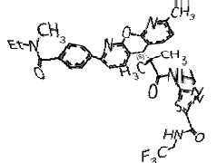 CCN(C)C(=O)c1ccc(-c2ccc3c(n2)Oc2nc(C)ccc2[C@@H]3C(C)(C)C(=O)Nc2nnc(C(=O)NCC(F)(F)F)s2)cc1